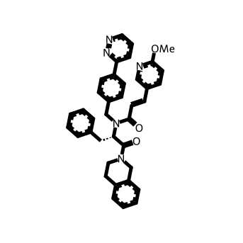 COc1ccc(/C=C/C(=O)N(Cc2ccc(-c3cccnn3)cc2)[C@@H](Cc2ccccc2)C(=O)N2CCc3ccccc3C2)cn1